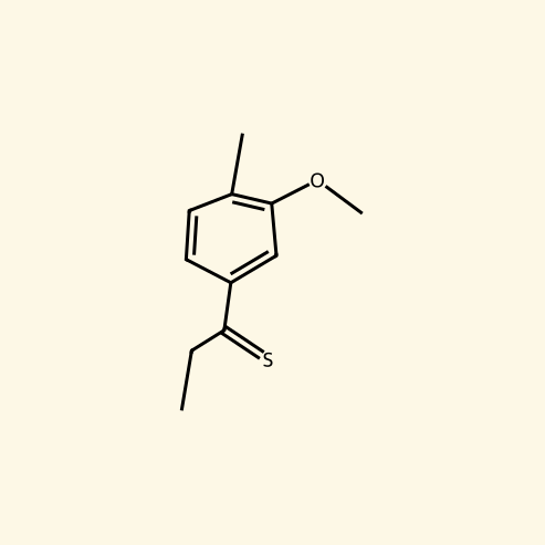 CCC(=S)c1ccc(C)c(OC)c1